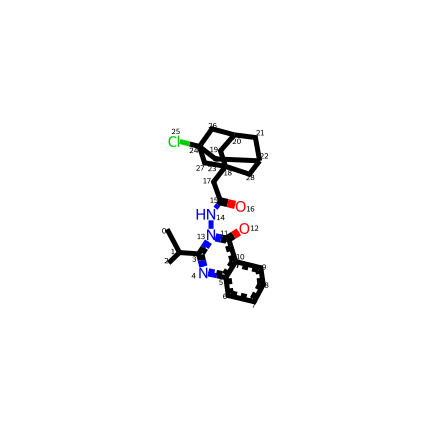 CC(C)c1nc2ccccc2c(=O)n1NC(=O)CC12CC3CC(CC(Cl)(C3)C1)C2